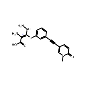 Cn1cc(C#Cc2cccc(O/C(NN)=C(/N)C(=O)O)c2)ccc1=O